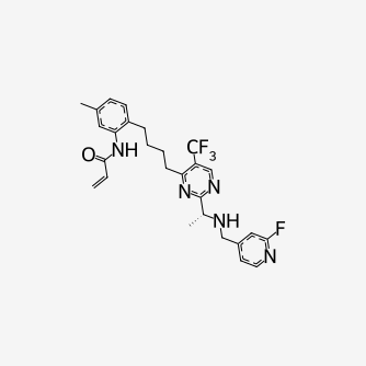 C=CC(=O)Nc1cc(C)ccc1CCCCc1nc([C@@H](C)NCc2ccnc(F)c2)ncc1C(F)(F)F